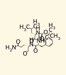 CC(C)C[C@H](NC(=O)OC(C)(C)C)C(=O)N[C@@H](Cc1ccccc1)C(=O)N[C@H](C=O)CCC(N)=O